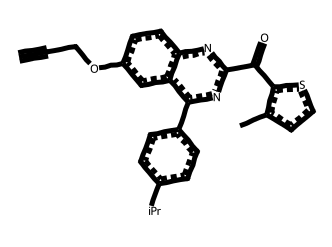 C#CCOc1ccc2nc(C(=O)c3sccc3C)nc(-c3ccc(C(C)C)cc3)c2c1